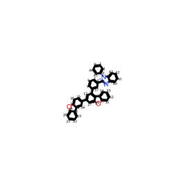 c1ccc(-n2c(-c3cccc(-c4cc(-c5ccc6oc7ccccc7c6c5)cc5oc6ccccc6c45)c3)nc3ccccc32)cc1